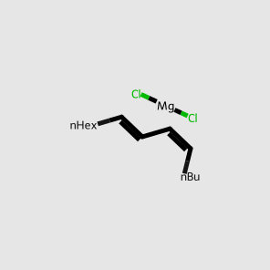 [CH2]CCCCC/C=C/C=C\CCCC.[Cl][Mg][Cl]